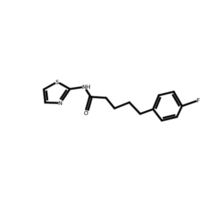 O=C(CCCCc1ccc(F)cc1)Nc1nccs1